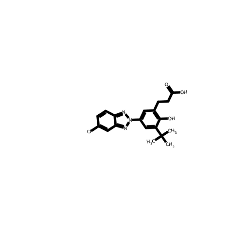 CC(C)(C)c1cc(-n2nc3ccc(Cl)cc3n2)cc(CCC(=O)O)c1O